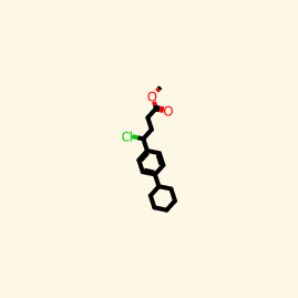 COC(=O)CCC(Cl)c1ccc(C2CCCCC2)cc1